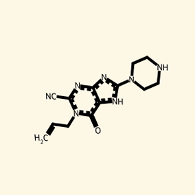 C=CCn1c(C#N)nc2nc(N3CCNCC3)[nH]c2c1=O